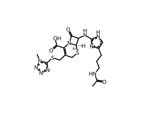 CC(=O)NCCCc1c[nH]c(NC2C(=O)N3C(C(=O)O)=C(CSc4nnnn4C)CS[C@H]23)n1